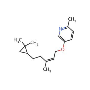 CC(=CCOc1ccc(C)nc1)CCC1CC1(C)C